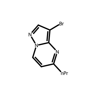 CCCc1ccn2ncc(Br)c2n1